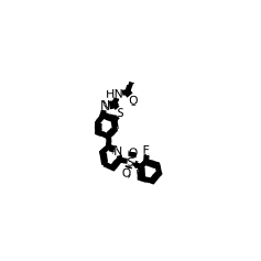 CC(=O)Nc1nc2ccc(-c3cccc(S(=O)(=O)c4ccccc4F)n3)cc2s1